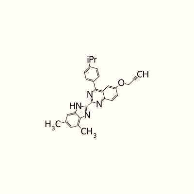 C#CCOc1ccc2nc(-c3nc4c(C)cc(C)cc4[nH]3)nc(-c3ccc(C(C)C)cc3)c2c1